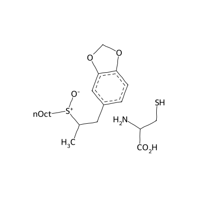 CCCCCCCC[S+]([O-])C(C)Cc1ccc2c(c1)OCO2.NC(CS)C(=O)O